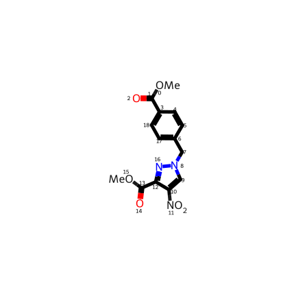 COC(=O)c1ccc(Cn2cc([N+](=O)[O-])c(C(=O)OC)n2)cc1